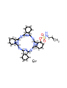 C=CCNS(=O)(=O)Oc1cccc2c3nc4nc(nc5[nH]c(nc6nc(nc([nH]3)c12)-c1ccccc1-6)c1ccccc51)-c1ccccc1-4.[Cu]